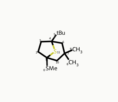 CSC12CCC(C(C)(C)C)(CC(C)(C)C1)S2